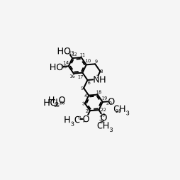 COc1cc(CC2NCCc3cc(O)c(O)cc32)cc(OC)c1OC.Cl.O